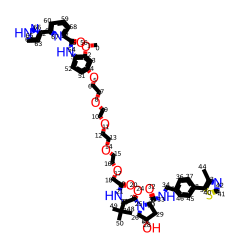 COc1cc(OCCOCCOCCOCCOCC(=O)N[C@H](C(=O)N2C[C@H](O)C[C@H]2C(=O)NCc2ccc(-c3scnc3C)cc2)C(C)(C)C)ccc1NC(=O)c1cccc(-c2cc[nH]n2)n1